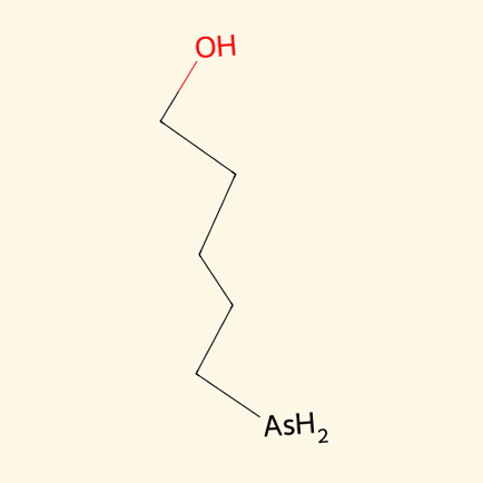 OCCCCC[AsH2]